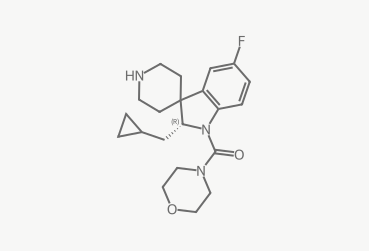 O=C(N1CCOCC1)N1c2ccc(F)cc2C2(CCNCC2)[C@H]1CC1CC1